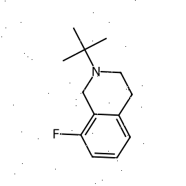 CC(C)(C)N1CCc2cccc(F)c2C1